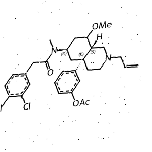 C=CCN1CC[C@@]2(c3cccc(OC(C)=O)c3)C[C@@H](N(C)C(=O)Cc3ccc(Cl)c(Cl)c3)CC(OC)[C@@H]2C1